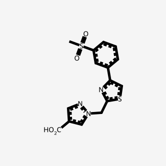 CS(=O)(=O)c1cccc(-c2csc(Cn3cc(C(=O)O)cn3)n2)c1